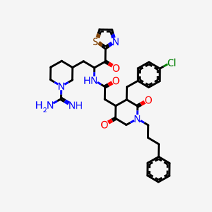 N=C(N)N1CCCC(CC(NC(=O)CC2C(=O)CN(CCCc3ccccc3)C(=O)C2Cc2ccc(Cl)cc2)C(=O)c2nccs2)C1